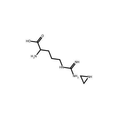 C1CN1.N=C(N)NCCCC(N)C(=O)O